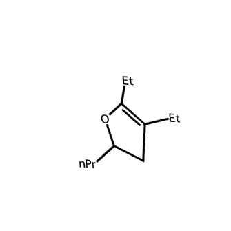 CCCC1CC(CC)=C(CC)O1